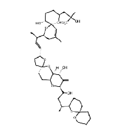 C=C1[C@@H](O)[C@@H]2O[C@@]3(CCC2O[C@@H]1C(O)C[C@H](C)C1CCC[C@]2(CCCCO2)O1)CC[C@H](/C=C/[C@@H](C)[C@@H]1CC(C)=C[C@@]2(O[C@H](CC(C)(O)C(=O)O)CC[C@H]2O)O1)O3